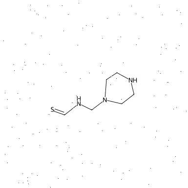 S=CNCN1CCNCC1